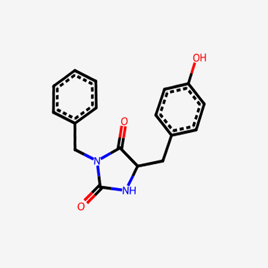 O=C1NC(Cc2ccc(O)cc2)C(=O)N1Cc1ccccc1